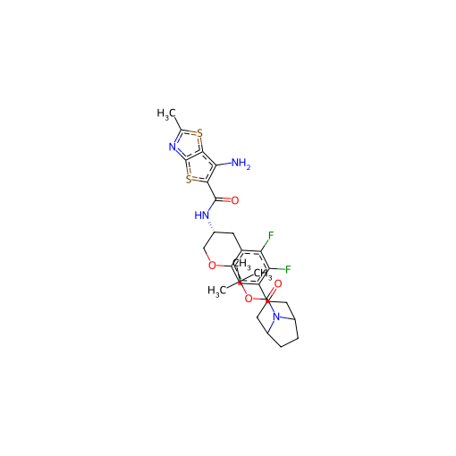 Cc1nc2sc(C(=O)N[C@H]3COc4cc(C5CC6CCC(C5)N6C(=O)OC(C)(C)C)c(F)c(F)c4C3)c(N)c2s1